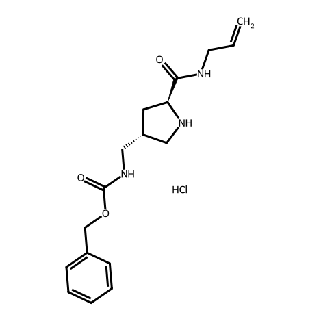 C=CCNC(=O)[C@@H]1C[C@@H](CNC(=O)OCc2ccccc2)CN1.Cl